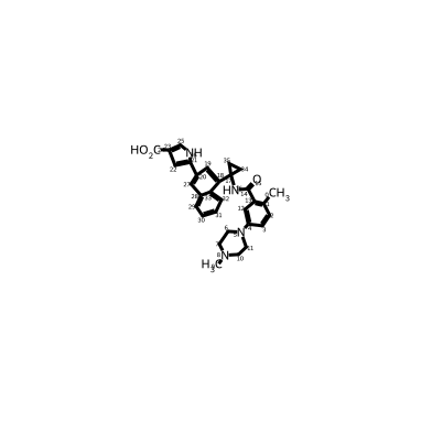 Cc1ccc(N2CCN(C)CC2)cc1C(=O)NC1(c2cc(-c3cc(C(=O)O)c[nH]3)cc3ccccc23)CC1